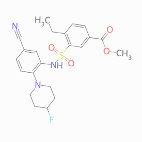 CCc1ccc(C(=O)OC)cc1S(=O)(=O)Nc1cc(C#N)ccc1N1CCC(F)CC1